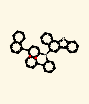 c1ccc(-c2ccccc2N(c2ccc(-c3cccc4ccccc34)cc2)c2cc3c4ccccc4oc3c3ccccc23)cc1